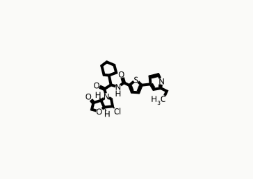 CCc1cc(-c2ccc(C(=O)NC(C(=O)N3C[C@H](Cl)[C@H]4OCC(=O)[C@H]43)C3CCCCC3)s2)ccn1